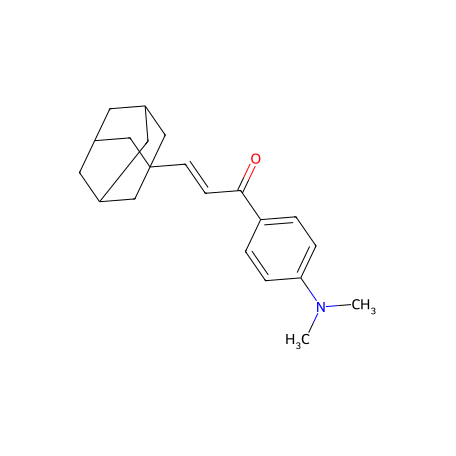 CN(C)c1ccc(C(=O)C=CC23CC4CC(CC(C4)C2)C3)cc1